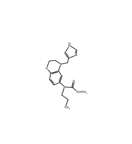 CCCN(C(=O)OC)c1ccc2c(c1)N(Cc1c[nH]cn1)CCO2